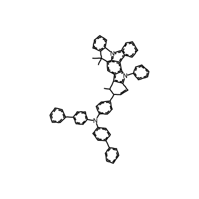 CC1c2c(n(-c3ccccc3)c3c2cc2c4c3c3ccccc3n4-c3ccccc3C2(C)C)C=CC1c1ccc(N(c2ccc(-c3ccccc3)cc2)c2ccc(-c3ccccc3)cc2)cc1